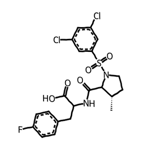 C[C@H]1CCN(S(=O)(=O)c2cc(Cl)cc(Cl)c2)C1C(=O)NC(Cc1ccc(F)cc1)C(=O)O